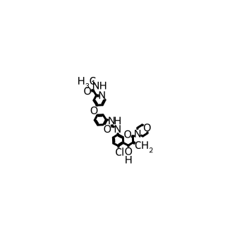 C=C(C(=O)N1CCOCC1)C(O)c1cc(Nc2nc3cc(Oc4ccnc(C(=O)NC)c4)ccc3o2)ccc1Cl